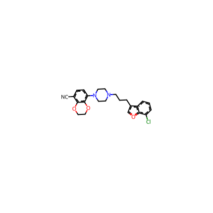 N#Cc1ccc(N2CCN(CCCc3coc4c(Cl)cccc34)CC2)c2c1OCCO2